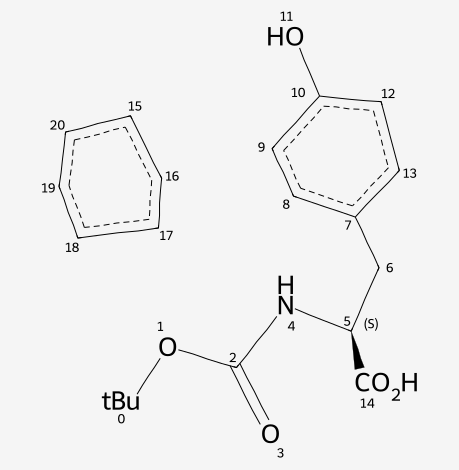 CC(C)(C)OC(=O)N[C@@H](Cc1ccc(O)cc1)C(=O)O.c1ccccc1